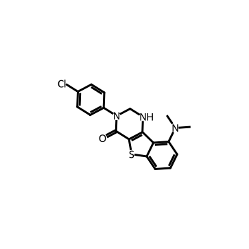 CN(C)c1cccc2sc3c(c12)NCN(c1ccc(Cl)cc1)C3=O